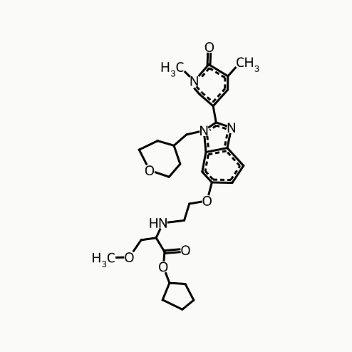 COCC(NCCOc1ccc2nc(-c3cc(C)c(=O)n(C)c3)n(CC3CCOCC3)c2c1)C(=O)OC1CCCC1